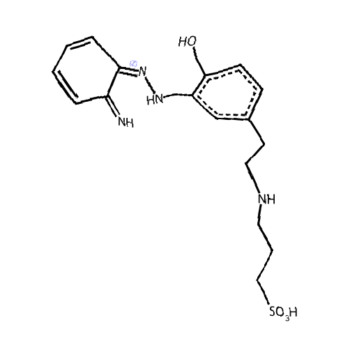 N=C1C=CC=C/C1=N/Nc1cc(CCNCCCS(=O)(=O)O)ccc1O